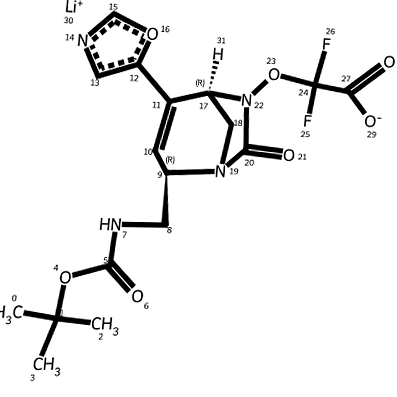 CC(C)(C)OC(=O)NC[C@H]1C=C(c2cnco2)[C@@H]2CN1C(=O)N2OC(F)(F)C(=O)[O-].[Li+]